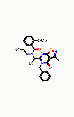 CCC(c1nc2onc(C)c2c(=O)n1Cc1ccccc1)N(CCC#N)C(=O)c1ccccc1OC